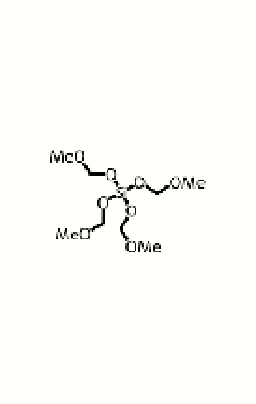 COCO[Si](OCOC)(OCOC)OCOC